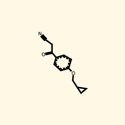 N#CCC(=O)c1ccc(OCC2CC2)cc1